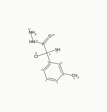 Cc1cccc(C(S)(Cl)C(=O)NN)c1